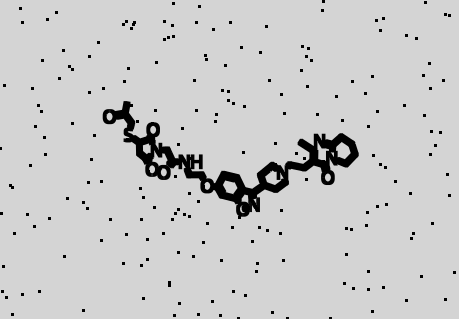 CC(=O)CSC1CC(=O)N(CC(=O)NCCOc2ccc3c(C4CCN(CCc5c(C)nc6n(c5=O)CCCC6)CC4)noc3c2)C1=O